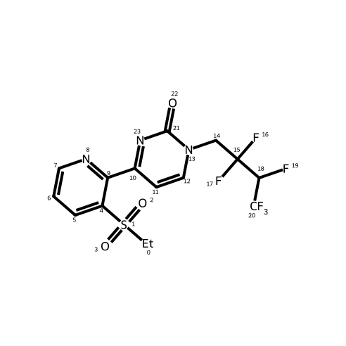 CCS(=O)(=O)c1cccnc1-c1ccn(CC(F)(F)C(F)C(F)(F)F)c(=O)n1